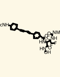 CNC(=O)NC(C)(C(F)F)C(NC(=O)c1ccc(C#CC#Cc2ccc(NC(C)=O)cc2)cc1)C(=O)NO